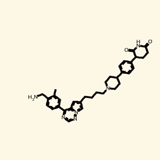 Cc1cc(-c2ncnn3cc(CCCCN4CCC(c5ccc(C6CCC(=O)NC6=O)cc5)CC4)cc23)ccc1CN